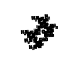 COC(=O)c1cnn(C)c1/N=N/c1c(N)nc(N)nc1NCCCNc1nc(N)nc(N)c1/N=N/c1c(C=O)cnn1C